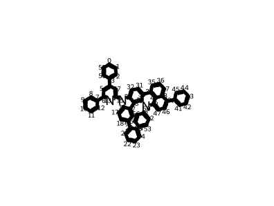 c1ccc(-c2cc(-c3ccccc3)nc(-n3c4ccc(-c5ccccc5)cc4c4c5c(ccc43)-c3cccc4c(-c6ccccc6)ccc(c34)N5c3ccccc3)c2)cc1